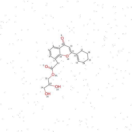 O=C(Cc1cccc2c(=O)cc(C3=CCCCC3)oc12)OCC(O)CO